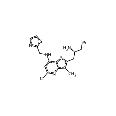 Cc1c(C[C@@H](N)CC(C)C)sc2c(NCc3nccs3)cc(Cl)nc12